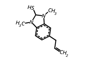 C=CCc1ccc2c(c1)N(C)C(S)N2C